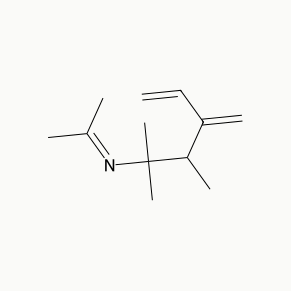 C=CC(=C)C(C)C(C)(C)N=C(C)C